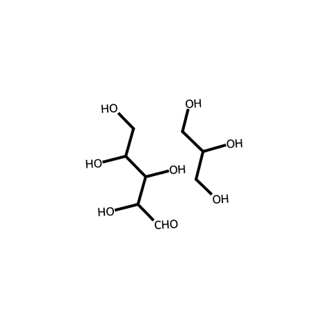 O=CC(O)C(O)C(O)CO.OCC(O)CO